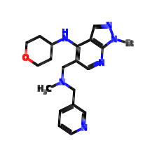 CCn1ncc2c(NC3CCOCC3)c(CN(C)Cc3cccnc3)cnc21